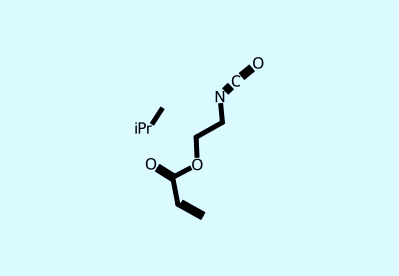 C=CC(=O)OCCN=C=O.CC(C)C